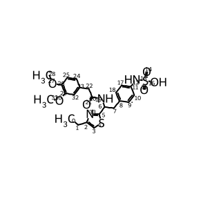 CCc1csc(C(Cc2[c]cc(NS(=O)(=O)O)cc2)NC(=O)Cc2ccc(OC)c(OC)c2)n1